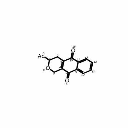 CC(=O)C1CC2=C(CO1)C(=O)c1ccccc1C2=O